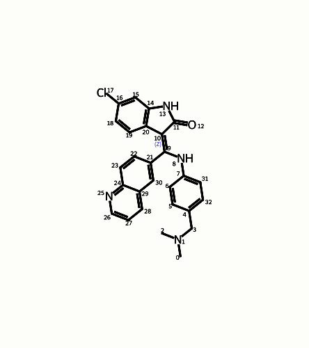 CN(C)Cc1ccc(N/C(=C2\C(=O)Nc3cc(Cl)ccc32)c2ccc3ncccc3c2)cc1